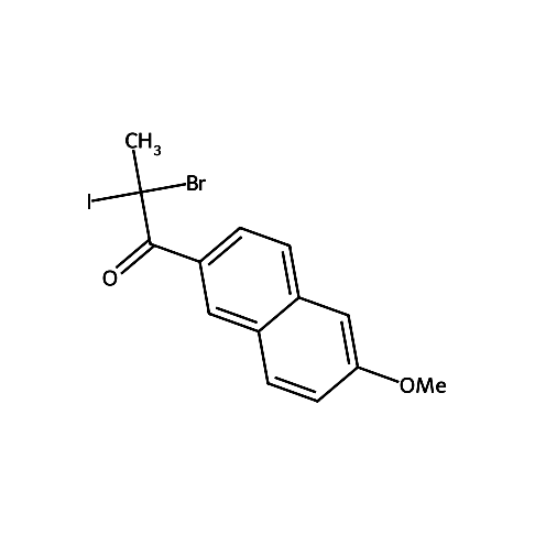 COc1ccc2cc(C(=O)C(C)(Br)I)ccc2c1